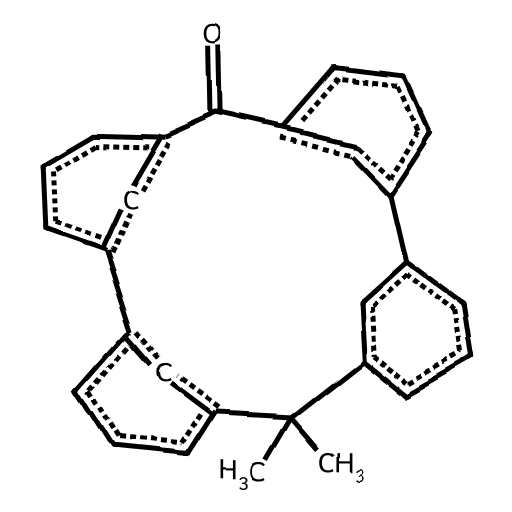 CC1(C)c2cccc(c2)-c2cccc(c2)C(=O)c2cccc(c2)-c2cccc1c2